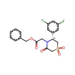 O=C(CN1C(=O)CS(=O)(=O)C[C@H]1c1cc(F)cc(F)c1)OCc1ccccc1